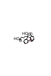 COc1ccccc1C(CCCC(=O)O)(C(=O)O)c1ccccc1OC